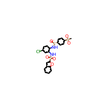 CS(=O)(=O)c1ccc([S+]([O-])Nc2ccc(Cl)cc2NS(=O)(=O)c2cc3ccccc3o2)cc1